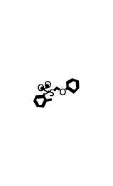 Cc1ccccc1S(=O)(=O)SCOc1ccccc1